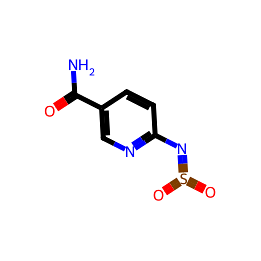 NC(=O)c1ccc(N=S(=O)=O)nc1